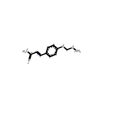 COCOc1ccc(/C=C/C(C)=O)cc1